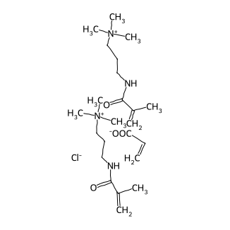 C=C(C)C(=O)NCCC[N+](C)(C)C.C=C(C)C(=O)NCCC[N+](C)(C)C.C=CC(=O)[O-].[Cl-]